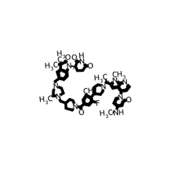 CNc1ccn(-c2ccnc3c2cc([C@H](C)N2CC=C(c4c(C)cc(C(=O)N5CCC(CN6CCN(Cc7ccc8c(c7)C(C)(C)C(=O)N8[C@@H]7CCC(=O)NC7=O)C[C@@H]6C)CC5)cc4F)CC2)n3C)c(=O)c1